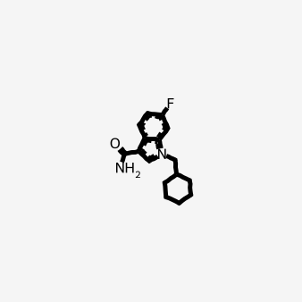 NC(=O)c1cn(CC2CCCCC2)c2cc(F)ccc12